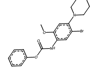 COc1cc(N2CCOCC2)c(Br)cc1NC(=O)Oc1ccccc1